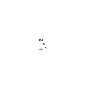 Cl.[N].[O].[SH]